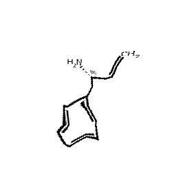 C=C[C@@H](N)c1ccccc1